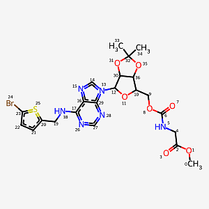 COC(=O)CNC(=O)OCC1OC(n2cnc3c(NCc4ccc(Br)s4)ncnc32)C2OC(C)(C)OC12